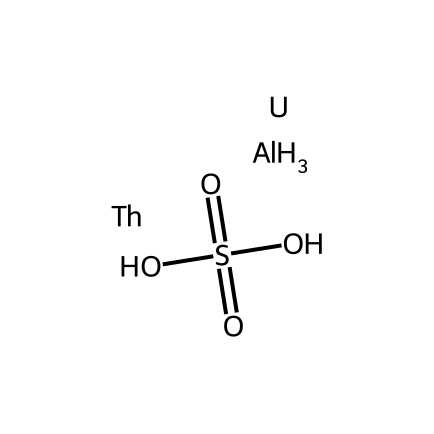 O=S(=O)(O)O.[AlH3].[Th].[U]